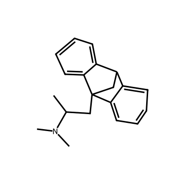 CC(CC12CC(c3ccccc31)c1ccccc12)N(C)C